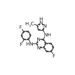 Cc1cc(Nc2nc(Nc3ccc(F)cc3F)nc3cc(F)ccc23)n[nH]1